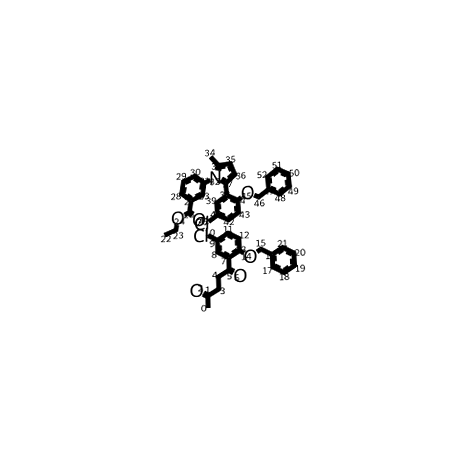 CC(=O)CCC(=O)c1cc(Cl)ccc1OCc1ccccc1.CCOC(=O)c1cccc(-n2c(C)ccc2-c2cc(Cl)ccc2OCc2ccccc2)c1